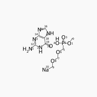 COP(=O)(O)COCO[CH2][Na].Nc1nc2nc[nH]c2c(=O)[nH]1